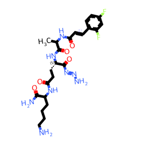 CC(NC(=O)/C=C/c1ccc(F)cc1F)C(=O)N[C@@H](CCC(=O)NC(CCCCN)C(N)=O)C(=O)N=NN